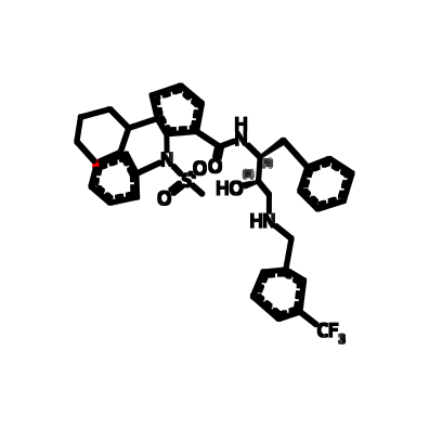 CS(=O)(=O)N(c1ccccc1)c1c(C(=O)N[C@@H](Cc2ccccc2)[C@H](O)CNCc2cccc(C(F)(F)F)c2)cccc1C1CCCCC1